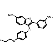 COc1cccc(-c2sc3cc(OC)ccc3c2Oc2ccc(OCCBr)cc2)c1